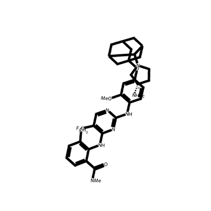 CNC(=O)c1cccc(C)c1Nc1nc(Nc2ccc(OC34CC5CC(C3)C(N3CC[C@H](NC(C)=O)C3)C(C5)C4)cc2OC)ncc1C(F)(F)F